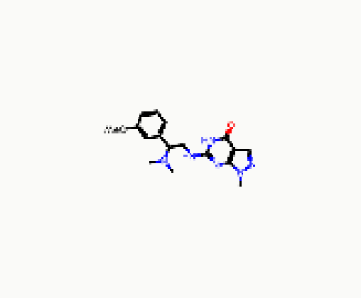 COc1cccc(C(CNc2nc3c(cnn3C)c(=O)[nH]2)N(C)C)c1